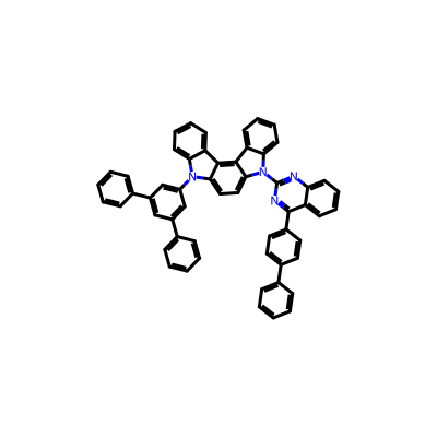 c1ccc(-c2ccc(-c3nc(-n4c5ccccc5c5c6c7ccccc7n(-c7cc(-c8ccccc8)cc(-c8ccccc8)c7)c6ccc54)nc4ccccc34)cc2)cc1